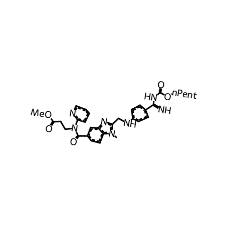 CCCCCOC(=O)NC(=N)c1ccc(NCc2nc3cc(C(=O)N(CCC(=O)OC)c4ccccn4)ccc3n2C)cc1